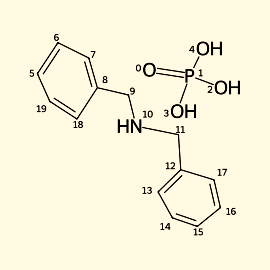 O=P(O)(O)O.c1ccc(CNCc2ccccc2)cc1